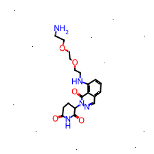 NCCOCCOCCNc1cccc2cnn(C3CCC(=O)NC3=O)c(=O)c12